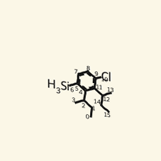 CCC(C)c1c([SiH3])ccc(Cl)c1C(C)CC